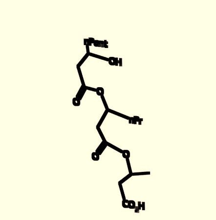 CCCCCC(O)CC(=O)OC(CCC)CC(=O)OC(C)CC(=O)O